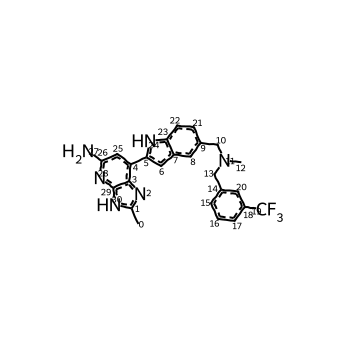 Cc1nc2c(-c3cc4cc(CN(C)Cc5cccc(C(F)(F)F)c5)ccc4[nH]3)cc(N)nc2[nH]1